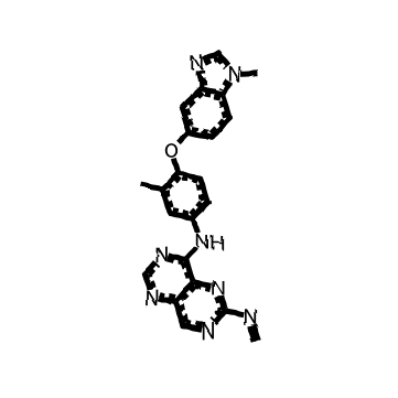 C=Nc1ncc2ncnc(Nc3ccc(Oc4ccc5c(c4)ncn5C)c(C)c3)c2n1